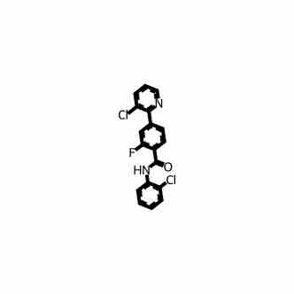 O=C(Nc1ccccc1Cl)c1ccc(-c2ncccc2Cl)cc1F